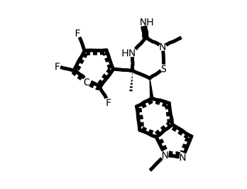 CN1S[C@@H](c2ccc3c(cnn3C)c2)[C@@](C)(c2cc(F)c(F)cc2F)NC1=N